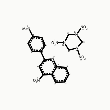 CNc1ccc(-c2cc([N+](=O)[O-])c3ccccc3n2)cc1.O=[N+]([O-])N1CN([N+](=O)[O-])CN([N+](=O)[O-])C1